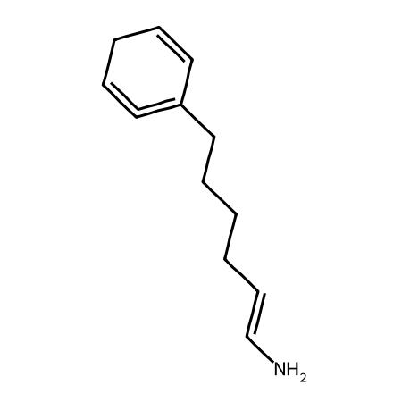 NC=CCCCCC1=C=CCC=C1